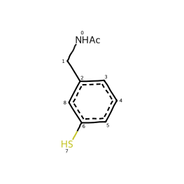 CC(=O)NCc1cccc(S)c1